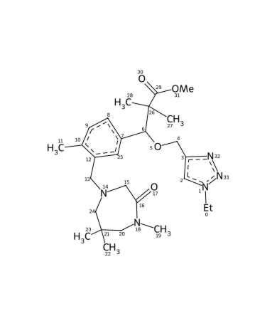 CCn1cc(COC(c2ccc(C)c(CN3CC(=O)N(C)CC(C)(C)C3)c2)C(C)(C)C(=O)OC)nn1